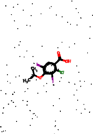 CC(C)Oc1c(I)cc(C(=O)O)c(Cl)c1I